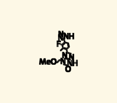 COCCN1CC(=O)Nc2ncc(-c3ccc(-c4nnc[nH]4)c(F)c3C)nc21